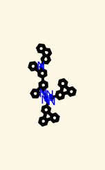 c1ccc2c(c1)ccc1ccc(-n3c4ccccc4c4cc(-c5ccc6c(c5)c5ccccc5n6-c5nc(-c6ccc7c8ccccc8c8ccccc8c7c6)nc(-c6ccc7c8ccccc8c8ccccc8c7c6)n5)ccc43)cc12